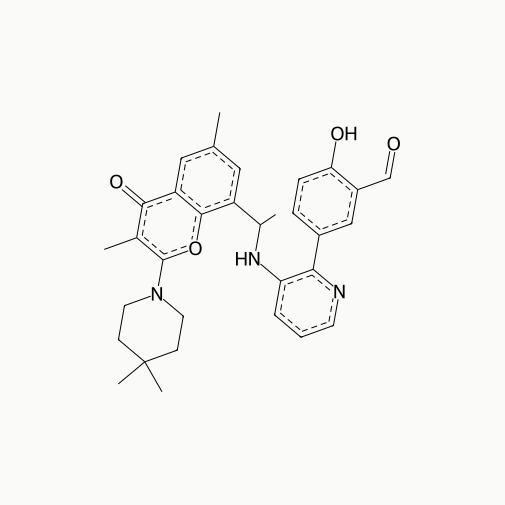 Cc1cc(C(C)Nc2cccnc2-c2ccc(O)c(C=O)c2)c2oc(N3CCC(C)(C)CC3)c(C)c(=O)c2c1